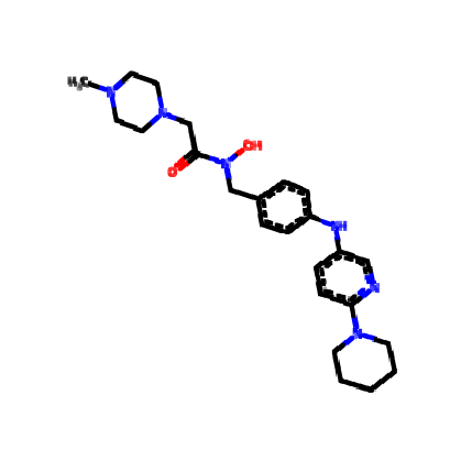 CN1CCN(CC(=O)N(O)Cc2ccc(Nc3ccc(N4CCCCC4)nc3)cc2)CC1